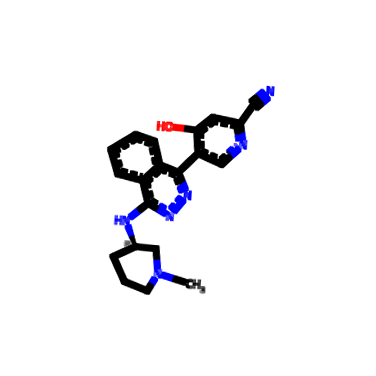 CN1CCC[C@@H](Nc2nnc(-c3cnc(C#N)cc3O)c3ccccc23)C1